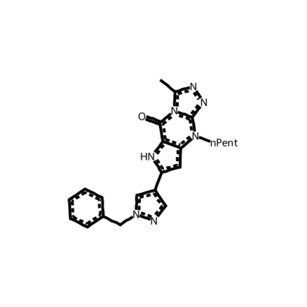 CCCCCn1c2cc(-c3cnn(Cc4ccccc4)c3)[nH]c2c(=O)n2c(C)nnc12